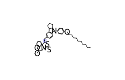 CCCCCCCCCCOc1ccc(N2c3ccc(/C=C4\SC(=S)N(CC(=O)OC)C4=O)cc3C3CCCC32)cc1